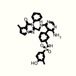 Cc1cc(S(=O)(=O)Nc2cccc(-c3c(N)ncnc3NC(C)c3nn4ccc(C)c4c(=O)n3-c3ccccc3)c2)ccc1O